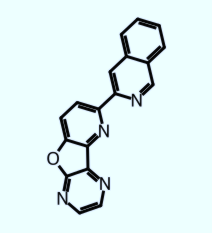 c1ccc2cc(-c3ccc4oc5nccnc5c4n3)ncc2c1